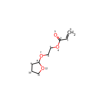 C=CC(=O)OCCOC1CCCO1